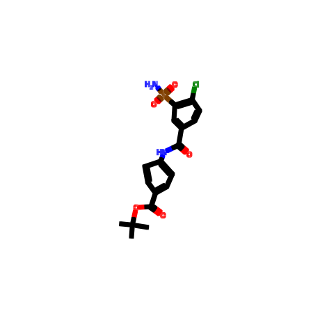 CC(C)(C)OC(=O)c1ccc(NC(=O)c2ccc(Cl)c(S(N)(=O)=O)c2)cc1